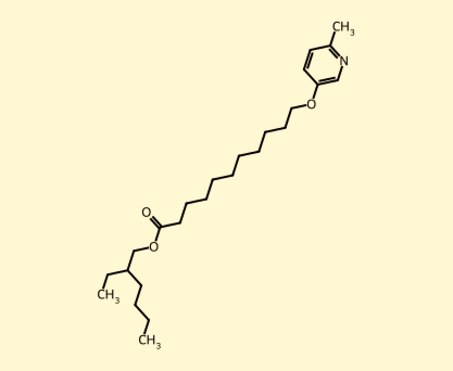 CCCCC(CC)COC(=O)CCCCCCCCCCOc1ccc(C)nc1